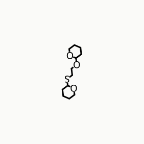 C1CCC(OCCSC2CCCCO2)OC1